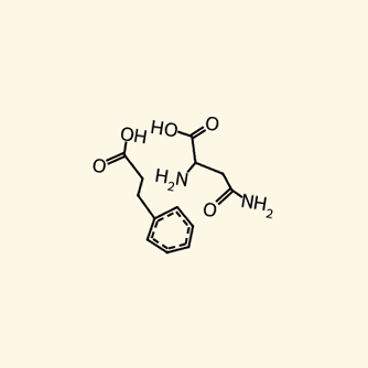 NC(=O)CC(N)C(=O)O.O=C(O)CCc1ccccc1